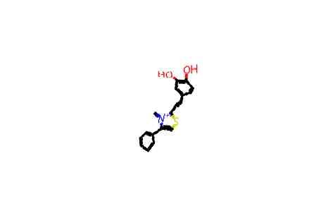 C[n+]1c(-c2ccccc2)csc1/C=C/c1ccc(O)c(O)c1